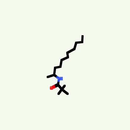 CCCCCCCCCC(C)NC(=O)C(C)(C)C